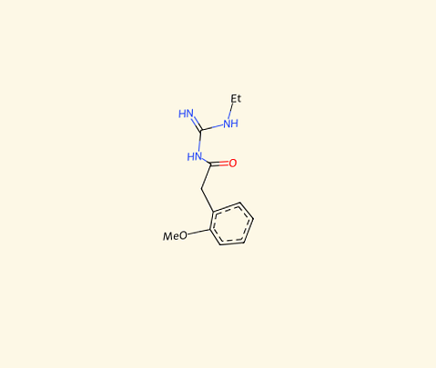 CCNC(=N)NC(=O)Cc1ccccc1OC